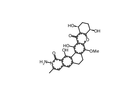 COc1c2c(c(O)c3c(=O)c4c(oc13)[C@H](O)CC[C@@H]4O)-c1c(cc3cc(C)n(N)c(=O)c3c1O)CC2